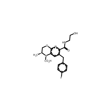 C[C@H]1COc2nc(C(=O)NCCO)c(Cc3ccc(F)cc3)cc2N1C(=O)O